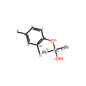 Cc1ccc(O[Si](O)(C(C)C)C(C)C)c(C)c1